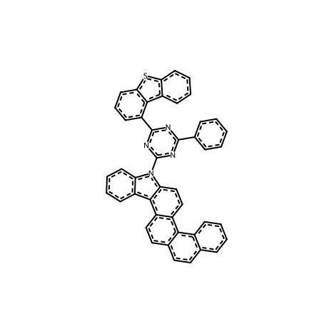 c1ccc(-c2nc(-c3cccc4sc5ccccc5c34)nc(-n3c4ccccc4c4c5ccc6ccc7ccccc7c6c5ccc43)n2)cc1